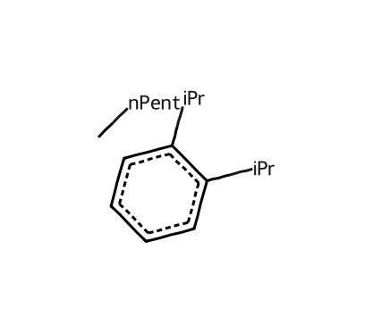 CC(C)c1ccccc1C(C)C.CCCCCC